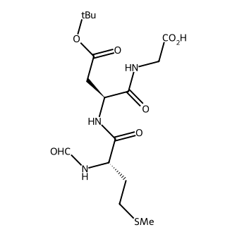 CSCC[C@H](NC=O)C(=O)N[C@@H](CC(=O)OC(C)(C)C)C(=O)NCC(=O)O